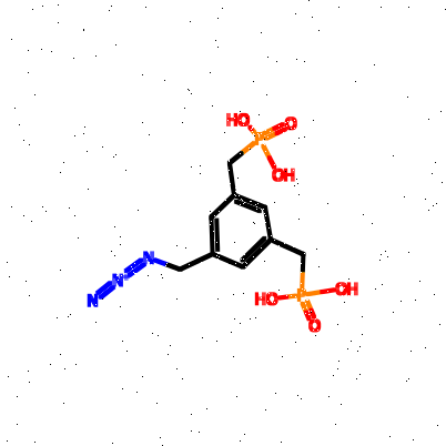 [N-]=[N+]=NCc1cc(CP(=O)(O)O)cc(CP(=O)(O)O)c1